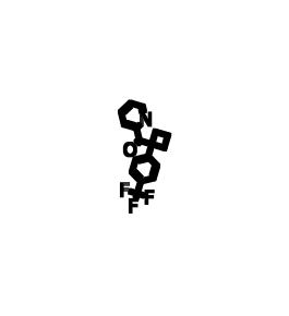 O=C(c1ccccn1)C1(c2ccc(C(F)(F)F)cc2)CCC1